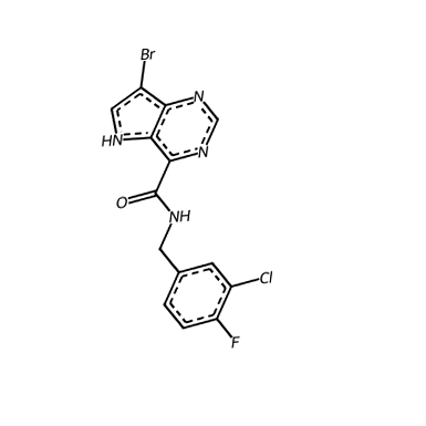 O=C(NCc1ccc(F)c(Cl)c1)c1ncnc2c(Br)c[nH]c12